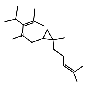 CC(C)=CCCC1(C)CC1CN(C)C(=C(C)C)C(C)C